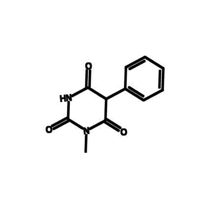 CN1C(=O)NC(=O)C(c2ccccc2)C1=O